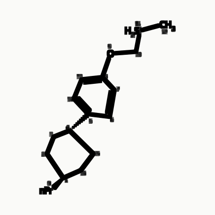 CCC[C@H]1CC[C@H](c2ccc(OC[SiH2]C)cc2)CC1